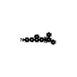 N#Cc1ccc(-c2ccc(-c3ccc(-c4ccc(-c5nc6c(-c7ccccc7)cc(-c7ccccc7)cc6o5)cc4)c4ccccc34)cc2)cc1